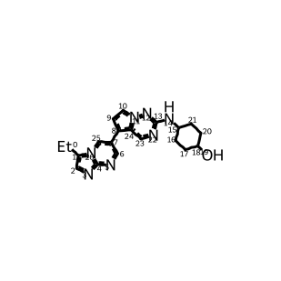 CCc1cnc2ncc(-c3ccn4nc(NC5CCC(O)CC5)ncc34)cn12